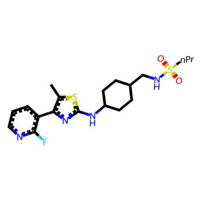 CCCS(=O)(=O)NCC1CCC(Nc2nc(-c3cccnc3F)c(C)s2)CC1